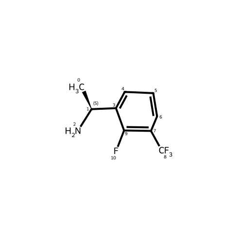 C[C@H](N)c1cccc(C(F)(F)F)c1F